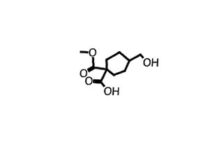 COC(=O)C1(C(=O)O)CCC(CO)CC1